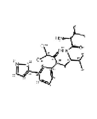 CC(C)[C@H](N)C(=O)N[C@H](CN(C(=O)C(Cl)Cl)c1cccc(-c2ccno2)c1)C(C)C